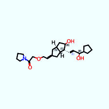 O=C(COCC=C1C[C@H]2C[C@@H](O)[C@H](/C=C/[C@H](O)C3CCCC3)[C@H]2C1)N1CCCC1